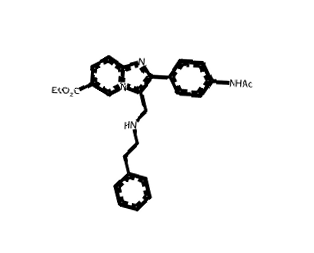 CCOC(=O)c1ccc2nc(-c3ccc(NC(C)=O)cc3)c(CNCCc3ccccc3)n2c1